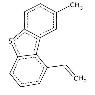 C=Cc1cccc2sc3ccc(C)cc3c12